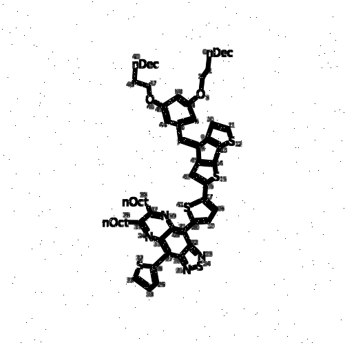 CCCCCCCCCCCCOc1cc(C=C2c3ccsc3-c3sc(-c4ccc(-c5c6nsnc6c(-c6cccs6)c6nc(CCCCCCCC)c(CCCCCCCC)nc56)s4)cc32)cc(OCCCCCCCCCCCC)c1